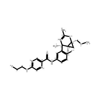 COC[C@]12C[C@H]1[C@@](C)(c1cc(NC(=O)c3cnc(OCCF)cn3)ccc1F)N=C(N)S2